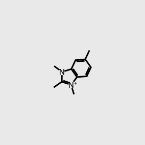 Cc1ccc2c(c1)n(C)c(C)[n+]2C